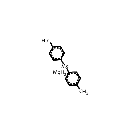 Cc1cc[c]([Mg][c]2ccc(C)cc2)cc1.[MgH2]